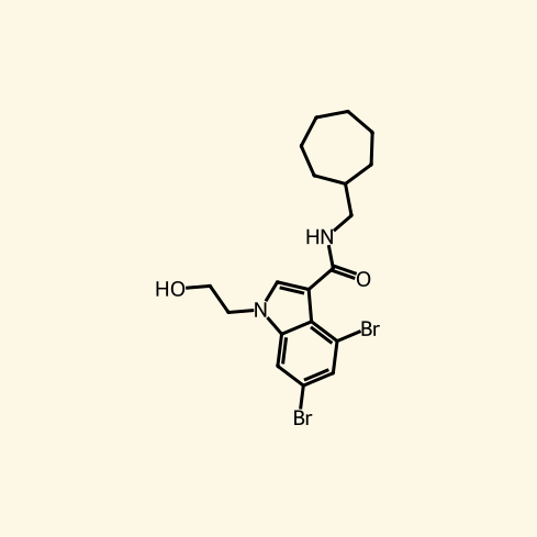 O=C(NCC1CCCCCC1)c1cn(CCO)c2cc(Br)cc(Br)c12